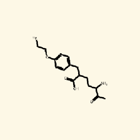 CC(=O)C(N)CCC(Cc1ccc(OCC[18F])cc1)C(=O)O